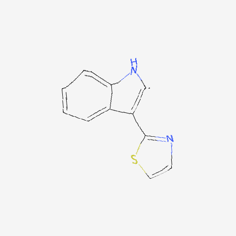 [c]1[nH]c2ccccc2c1-c1nccs1